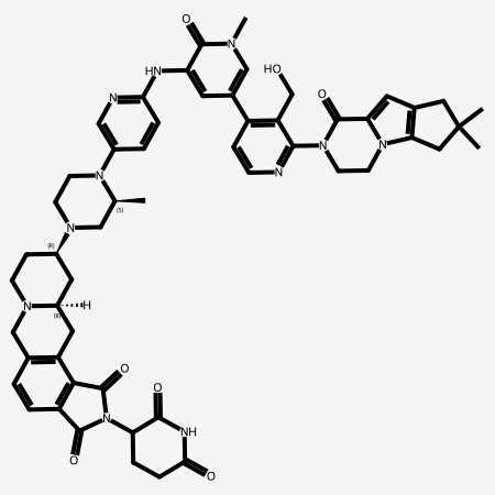 C[C@H]1CN([C@@H]2CCN3Cc4ccc5c(c4C[C@@H]3C2)C(=O)N(C2CCC(=O)NC2=O)C5=O)CCN1c1ccc(Nc2cc(-c3ccnc(N4CCn5c(cc6c5CC(C)(C)C6)C4=O)c3CO)cn(C)c2=O)nc1